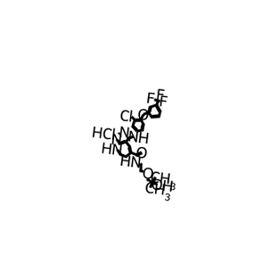 CC(C)(O)COCCNC(=O)C1=Cc2c(ncnc2Nc2ccc(Oc3cccc(C(F)(F)F)c3)c(Cl)c2)NCC1.Cl